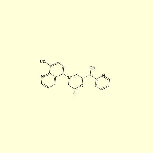 C[C@@H]1CN(c2ccc(C#N)c3ncccc23)C[C@H](C(O)c2ccccn2)O1